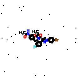 CC(=O)Nc1ccc(CCN2C(=O)[C@@H](C)O[C@@H]2c2cn(-c3ccc(Br)cc3)nc2-c2ccc(F)cc2)cc1